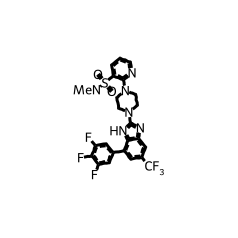 CNS(=O)(=O)c1cccnc1N1CCN(c2nc3cc(C(F)(F)F)cc(-c4cc(F)c(F)c(F)c4)c3[nH]2)CC1